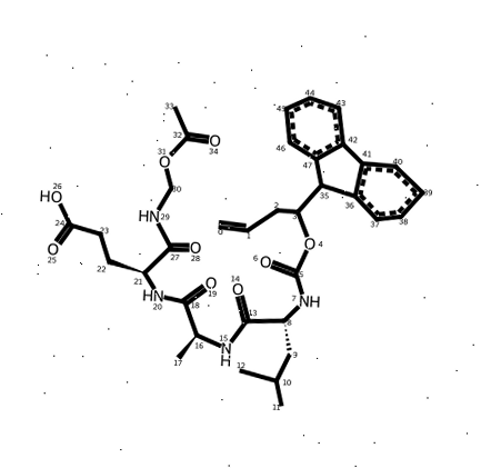 C=CCC(OC(=O)N[C@H](CC(C)C)C(=O)N[C@@H](C)C(=O)N[C@@H](CCC(=O)O)C(=O)NCOC(C)=O)C1c2ccccc2-c2ccccc21